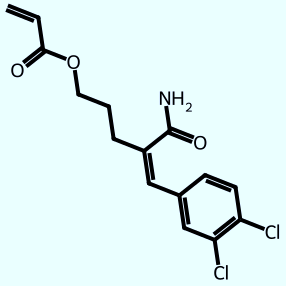 C=CC(=O)OCCCC(=Cc1ccc(Cl)c(Cl)c1)C(N)=O